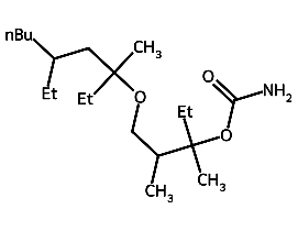 CCCCC(CC)CC(C)(CC)OCC(C)C(C)(CC)OC(N)=O